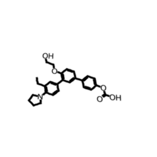 CCc1cc(-c2cc(-c3ccc(OC(=O)O)cc3)ccc2OCCO)ccc1N1CCCC1